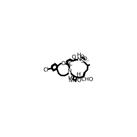 CO[C@@]1(C=O)/C=C/CC(C)[C@@H](C)S(=O)(=O)NC(=O)c2ccc3c(c2)N(CCCCc2cc(Cl)ccc2CO3)C[C@@H]2CC[C@H]21